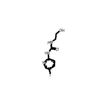 O=C(NCCO)Nc1ccc(I)cn1